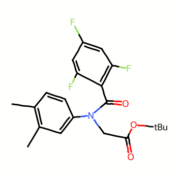 Cc1ccc(N(CC(=O)OC(C)(C)C)C(=O)c2c(F)cc(F)cc2F)cc1C